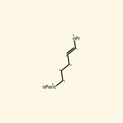 [CH2]CC/C=C/CCCCCCCC